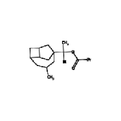 CCC(C)(OC(=O)C(C)C)C12CC(C)CC3CC(C1)C3C2